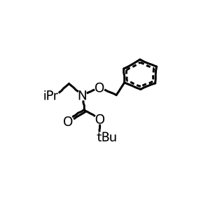 CC(C)CN(OCc1ccccc1)C(=O)OC(C)(C)C